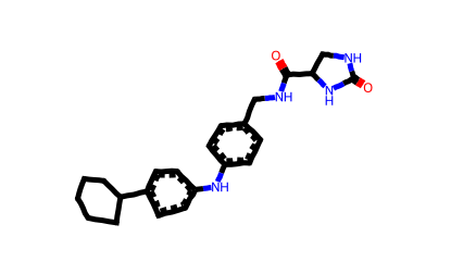 O=C1NCC(C(=O)NCc2ccc(Nc3ccc(C4CCCCC4)cc3)cc2)N1